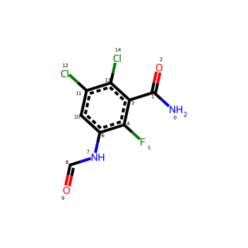 NC(=O)c1c(F)c(NC=O)cc(Cl)c1Cl